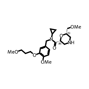 COCCCOc1cc(CN(C(=O)[C@H]2CNC[C@@H](COC)O2)C2CC2)ccc1OC